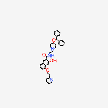 O=C(NCCN1CCC(OC(c2ccccc2)c2ccccc2)CC1)c1cc2cccc(OCCc3ccccn3)c2cc1O